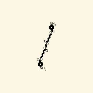 Nc1ccc(C(=O)OCCCCCC(=O)OCCOC(=O)CCCCCOC(=O)c2ccc(N)cc2)cc1